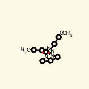 COc1ccc(-c2ccc(-c3nc(-c4ccc(-c5ccc(C)cc5)cc4)nc(-n4c5ccccc5c5ccc6c7ccccc7n(-c7ccccc7)c6c54)n3)cc2)cc1